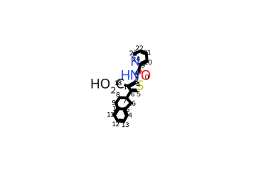 O=C(Nc1scc(C2CCc3ccccc3C2)c1C(=O)O)c1ccccn1